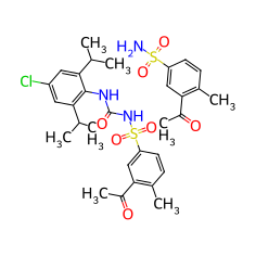 CC(=O)c1cc(S(=O)(=O)NC(=O)Nc2c(C(C)C)cc(Cl)cc2C(C)C)ccc1C.CC(=O)c1cc(S(N)(=O)=O)ccc1C